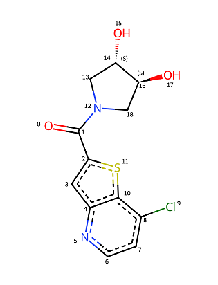 O=C(c1cc2nccc(Cl)c2s1)N1C[C@H](O)[C@@H](O)C1